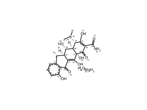 C[C@H]1c2cccc(O)c2C(=O)C2=C(O)[C@]3(O)C(=O)C(C(N)=O)=C(O)[C@@H](N(C)C)[C@@H]3[C@@H](O)[C@@H]21.O.[MgH2]